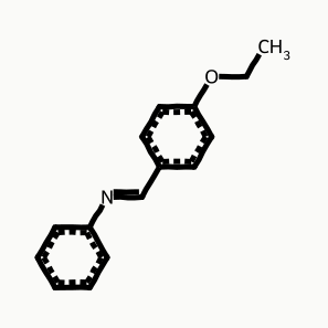 CCOc1ccc(C=Nc2ccccc2)cc1